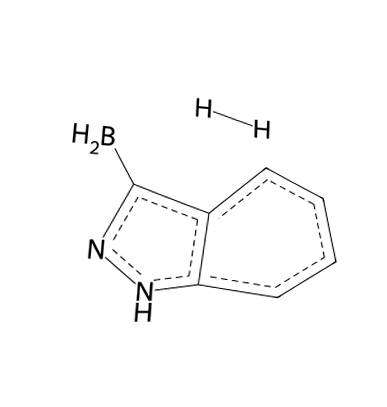 Bc1n[nH]c2ccccc12.[H][H]